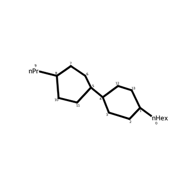 CCCCCCC1CCC(C2CCC(CCC)CC2)CC1